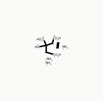 C=C.N.N.N.O=C(O)CC(O)(CC(=O)O)C(=O)O